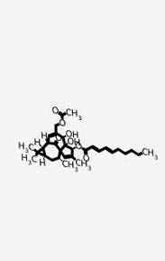 CCCCC/C=C/C=C/C(=O)O[C@H]1C(C)=CC23C(=O)[C@@H](C=C(COC(C)=O)[C@@H](O)[C@]12O)[C@H]1[C@@H](C[C@H]3C)C1(C)C